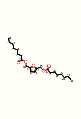 CCCCCCCC(=O)OCc1ccc(COC(=O)CCCCCCC)o1